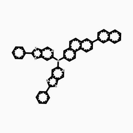 c1ccc(-c2nc3cc(N(c4ccc5c(ccc6cc(-c7ccc8ccccc8c7)ccc65)c4)c4cc5nc(-c6ccccc6)sc5cn4)ncc3s2)cc1